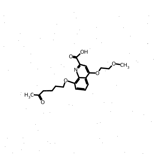 COCCOc1cc(C(=O)O)nc2c(OCCCCC(C)=O)cccc12